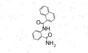 NC(=O)c1ccccc1NC(=O)c1cccc2ccccc12